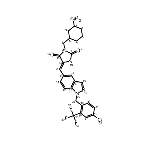 NC1CCCC(CN2C(=O)SC(=Cc3ccc4c(cnn4Cc4ccc(Cl)cc4C(F)(F)F)c3)C2=O)C1